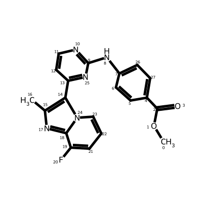 COC(=O)c1ccc(Nc2nccc(-c3c(C)nc4c(F)cccn34)n2)cc1